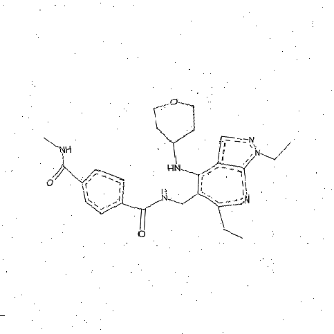 CCc1nc2c(cnn2CC)c(NC2CCOCC2)c1CNC(=O)c1ccc(C(=O)NC)cc1